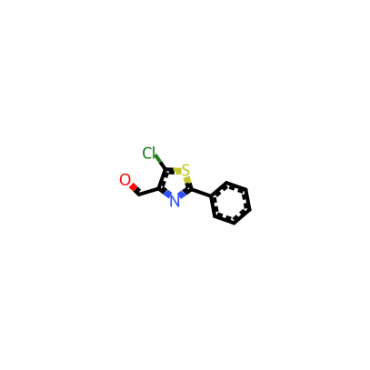 O=Cc1nc(-c2ccccc2)sc1Cl